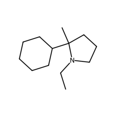 CCN1CCCC1(C)C1CCCCC1